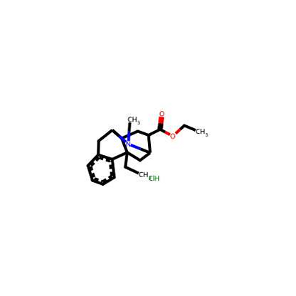 CCOC(=O)C1CC2C3Cc4ccccc4C2(CC)CC1N3C.Cl